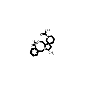 C.O=C(O)N1CCCC2(CCN3Cc4ccccc4S(=O)(=O)OCC32)C1